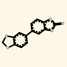 O=c1oc2ccc(-c3ccc4c(c3)OCO4)cc2o1